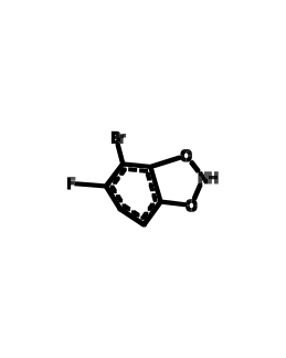 Fc1ccc2c(c1Br)ONO2